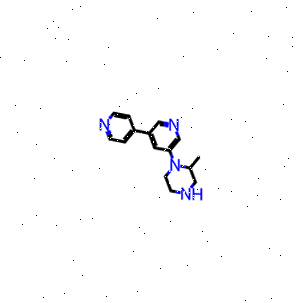 CC1CNCCN1c1cncc(-c2ccncc2)c1